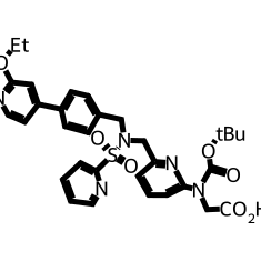 CCOc1cc(-c2ccc(CN(Cc3cccc(N(CC(=O)O)C(=O)OC(C)(C)C)n3)S(=O)(=O)c3ccccn3)cc2)ccn1